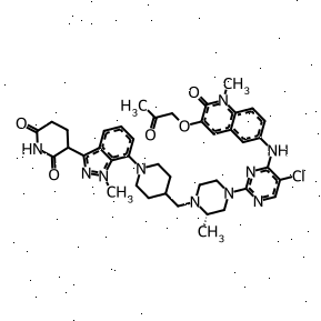 CC(=O)COc1cc2cc(Nc3nc(N4CCN(CC5CCN(c6cccc7c(C8CCC(=O)NC8=O)nn(C)c67)CC5)[C@@H](C)C4)ncc3Cl)ccc2n(C)c1=O